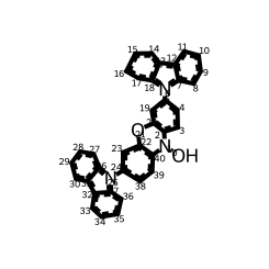 ON1c2ccc(-n3c4ccccc4c4ccccc43)cc2Oc2cc(-n3c4ccccc4c4ccccc43)ccc21